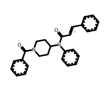 O=C(c1ccccc1)N1CCC(N(C(=O)/C=C/c2ccccc2)c2ccccc2)CC1